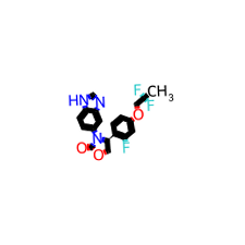 CC(F)(F)COc1ccc([C@@H]2COC(=O)N2c2ccc3[nH]cnc3c2)c(F)c1